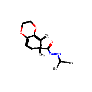 CCC1=C2OCCOC2=CCC1(C)C(=O)NNC(CC)C(C)(C)C